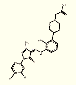 CC1=NN(c2ccc(Cl)c(Cl)c2)C(=O)/C1=N\Nc1cccc(C2CCN(CC(=O)O)CC2)c1O